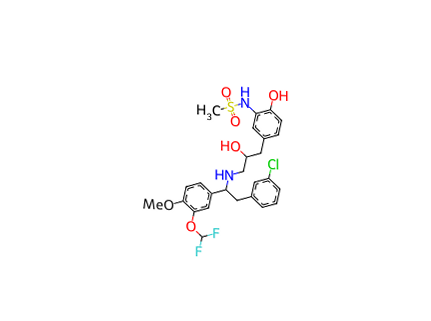 COc1ccc(C(Cc2cccc(Cl)c2)NCC(O)Cc2ccc(O)c(NS(C)(=O)=O)c2)cc1OC(F)F